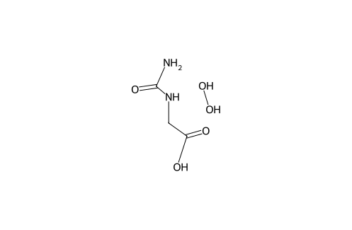 NC(=O)NCC(=O)O.OO